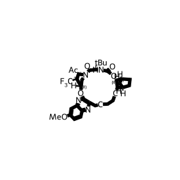 COc1ccc2nc3c(nc2c1)O[C@H]1CN(C(=O)[C@H](C(C)(C)C)NC(=O)O[C@@H]2[C@H]4CC[C@H](C4)[C@H]2CCCCC3)[C@H](C(C)=O)[C@@H]1C(F)(F)F